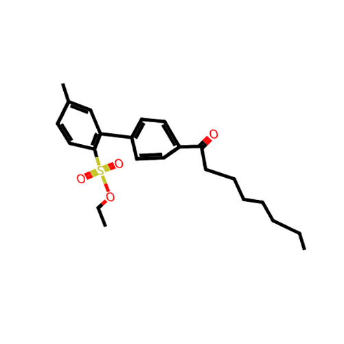 CCCCCCCC(=O)c1ccc(-c2cc(C)ccc2S(=O)(=O)OCC)cc1